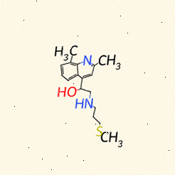 CSCCCNCC(O)c1cc(C)nc2c(C)cccc12